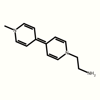 CN1C=CC(=C2C=CN(CCN)C=C2)C=C1